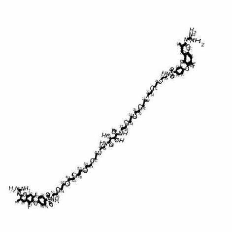 CC(=Cc1ccc(F)c(Oc2ccc(S(=O)(=O)NCCOCCOCCOCCOCCOCCOCCNC(=O)C(O)C(O)C(=O)NCCOCCOCCOCCOCCOCCOCCNS(=O)(=O)c3ccc(Oc4c(F)ccc(C=C(C)C(=O)N=C(N)N)c4F)cc3)cc2)c1F)C(=O)N=C(N)N